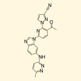 CC(=O)c1ccc(-n2cnc3ccc(Nc4ccc(C)nn4)cc32)nc1-n1ccc(C#N)n1